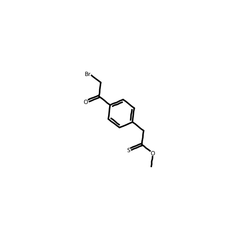 COC(=S)Cc1ccc(C(=O)CBr)cc1